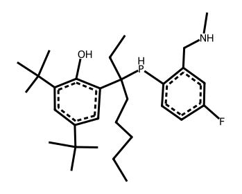 CCCCCC(CC)(Pc1ccc(F)cc1CNC)c1cc(C(C)(C)C)cc(C(C)(C)C)c1O